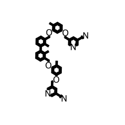 Cc1ccc(OCc2cncc(C#N)c2)cc1OCc1cccc(-c2cccc(COc3cc(OCc4cncc(C#N)c4)ccc3C)c2C)c1C